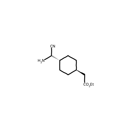 CCOC(=O)C[C@H]1CC[C@H](C(N)C#N)CC1